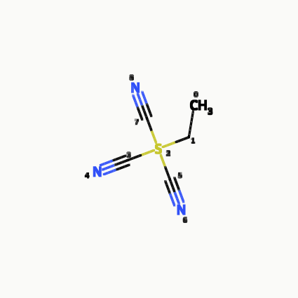 CCS(C#N)(C#N)C#N